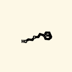 OCCOCC[N+]12CCC(CC1)CC2